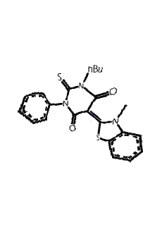 CCCCN1C(=O)/C(=C2/Sc3ccccc3N2C)C(=O)N(c2ccccc2)C1=S